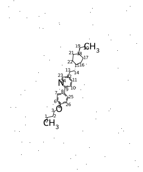 CCCCOc1ccc(-c2ccc(CC[C@H]3CC[C@H](CC)CC3)cn2)cc1